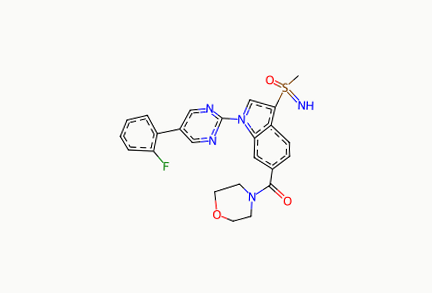 CS(=N)(=O)c1cn(-c2ncc(-c3ccccc3F)cn2)c2cc(C(=O)N3CCOCC3)ccc12